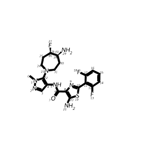 Cn1ncc(NC(=O)c2nc(-c3c(F)cccc3F)sc2N)c1N1CC[C@@H](F)[C@@H](N)CC1